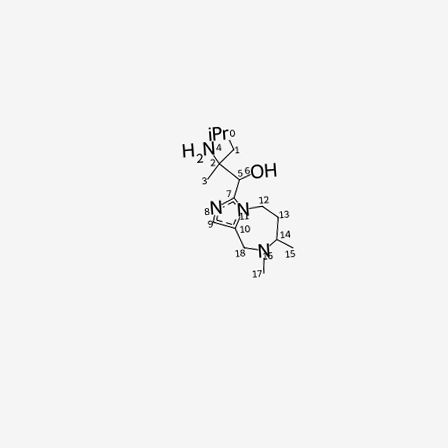 CC(C)CC(C)(N)C(O)c1ncc2n1CCC(C)N(C)C2